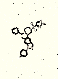 Cc1cc2c(cnn2-c2ccc(F)cc2)cc1C1CN(S(=O)(=O)c2cnn(C)n2)CCN1Cc1ccccc1